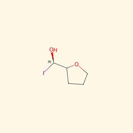 O[C@H](I)C1CCCO1